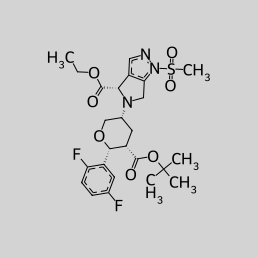 CCOC(=O)[C@@H]1c2cnn(S(C)(=O)=O)c2CN1[C@H]1CO[C@@H](c2cc(F)ccc2F)[C@@H](C(=O)OC(C)(C)C)C1